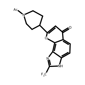 CC(=O)N1CCC(c2cc(=O)c3ccc4[nH]c(C(F)(F)F)nc4c3o2)CC1